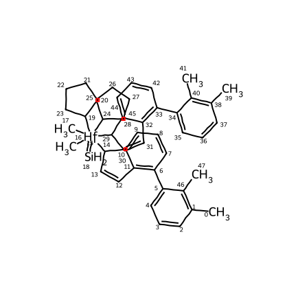 Cc1cccc(-c2cccc3c2C=C[CH]3[Hf]([CH3])([CH3])(=[SiH2])([CH]2CCCC2)([CH]2CCCC2)[CH]2C=Cc3c(-c4cccc(C)c4C)cccc32)c1C